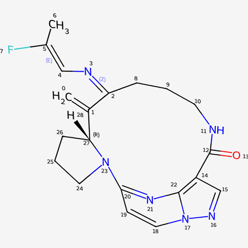 C=C1/C(=N\C=C(/C)F)CCCNC(=O)c2cnn3ccc(nc23)N2CCC[C@H]12